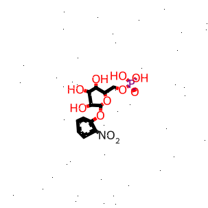 O=[N+]([O-])c1ccccc1OC1OC(COP(=O)(O)O)C(O)C(O)C1O